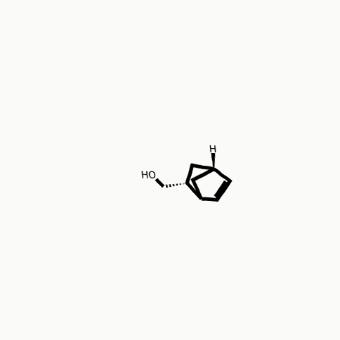 OC[C@@H]1C[C@@H]2C=CC1C2